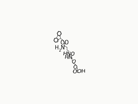 NC(CCCNC(=O)NCCOCCOCC(=O)O)C(=O)OCC1c2ccccc2-c2ccccc21